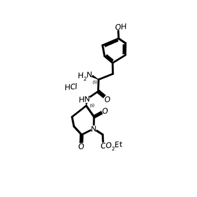 CCOC(=O)CN1C(=O)CC[C@H](NC(=O)[C@@H](N)Cc2ccc(O)cc2)C1=O.Cl